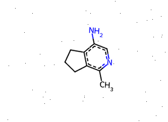 Cc1ncc(N)c2c1CCC2